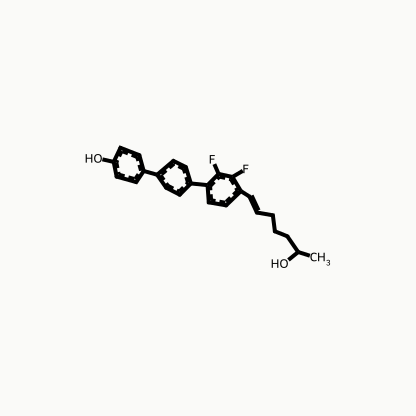 CC(O)CCCC=Cc1ccc(-c2ccc(-c3ccc(O)cc3)cc2)c(F)c1F